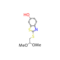 COC(CSc1nc2ccc(O)cc2s1)OC